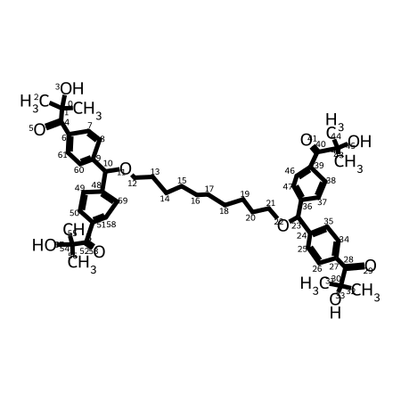 CC(C)(O)C(=O)c1ccc(C(OCCCCCCCCCCOC(c2ccc(C(=O)C(C)(C)O)cc2)c2ccc(C(=O)C(C)(C)O)cc2)c2ccc(C(=O)C(C)(C)O)cc2)cc1